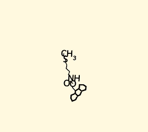 CCSCCCCCNC(=O)OCc1c2ccccc2cc2ccccc12